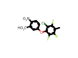 Cc1c(F)c(F)c(Oc2ccc([N+](=O)[O-])c(C(=O)O)c2)c(Cl)c1F